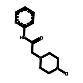 O=C(CN1CCN(Cl)CC1)Nc1ccccn1